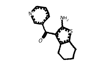 Nc1sc2c(c1C(=O)c1cccnc1)CCCC2